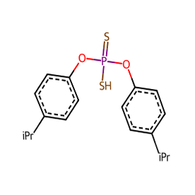 CC(C)c1ccc(OP(=S)(S)Oc2ccc(C(C)C)cc2)cc1